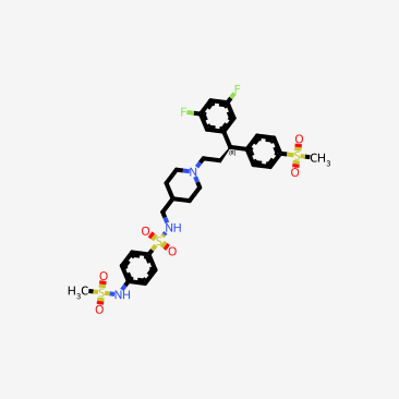 CS(=O)(=O)Nc1ccc(S(=O)(=O)NCC2CCN(CC[C@H](c3ccc(S(C)(=O)=O)cc3)c3cc(F)cc(F)c3)CC2)cc1